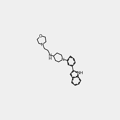 c1cc(-c2cc3ccccc3[nH]2)cc(N2CCC(NCCN3CCOCC3)CC2)c1